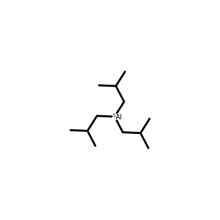 CC(C)[CH2][5Al]([CH2]C(C)C)[CH2]C(C)C